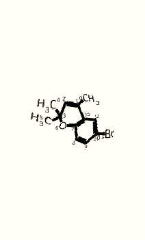 CC1=CC(C)(C)Oc2ccc(Br)cc21